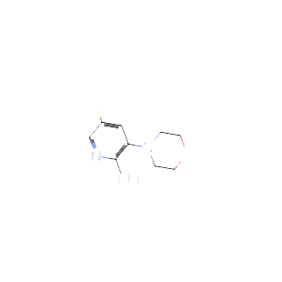 CCCc1ncc(F)cc1N1CCOCC1